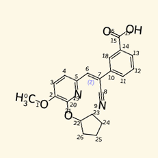 COc1ccc(/C=C(\C#N)c2cccc(C(=O)O)c2)nc1OC1CCCC1